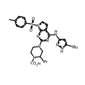 Cc1ccc(S(=O)(=O)n2ccc3c(Nc4cc(C(C)(C)C)[nH]n4)nc(N4CCN(C(=O)O)C(C(C)C)C4)nc32)cc1